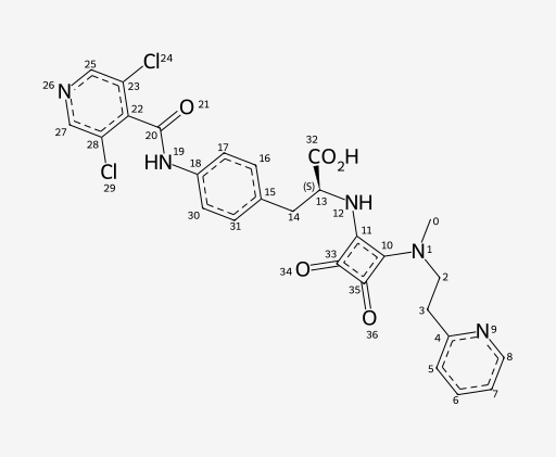 CN(CCc1ccccn1)c1c(N[C@@H](Cc2ccc(NC(=O)c3c(Cl)cncc3Cl)cc2)C(=O)O)c(=O)c1=O